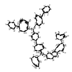 c1ccc(-c2ccc(N(c3ccc(-c4ccccc4)cc3)c3ccc(-c4ccc(N(c5ccccc5)c5ccc6oc7ccc(-c8ccccc8)cc7c6c5)cc4)cc3)cc2)cc1